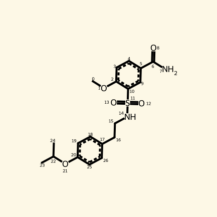 COc1ccc(C(N)=O)cc1S(=O)(=O)NCCc1ccc(OC(C)C)cc1